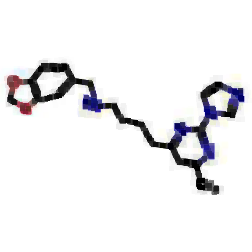 Cc1cc(CCCCNCc2ccc3c(c2)OCO3)nc(-n2ccnc2)n1